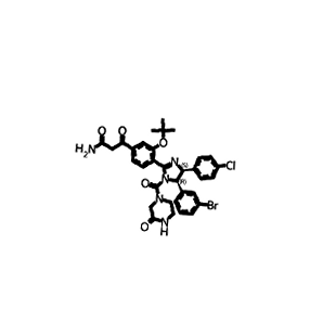 CC(C)(C)Oc1cc(C(=O)CC(N)=O)ccc1C1=N[C@@H](c2ccc(Cl)cc2)[C@@H](c2cccc(Br)c2)N1C(=O)N1CCNC(=O)C1